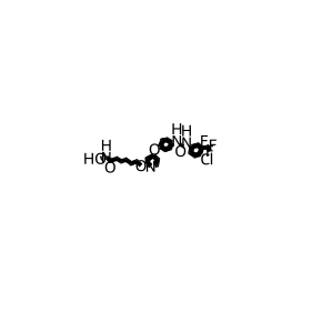 O=C(CCCCCOc1cc(Oc2ccc(NC(=O)Nc3ccc(Cl)c(C(F)(F)F)c3)cc2)ccn1)NO